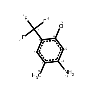 Cc1cc(C(F)(F)F)c(Cl)cc1N